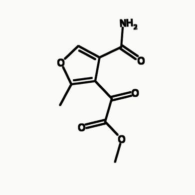 COC(=O)C(=O)c1c(C(N)=O)coc1C